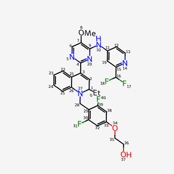 CCC1C=C(c2ncc(OC)c(Nc3ccnc(C(F)F)c3)n2)c2ccccc2N1Cc1c(F)cc(OCCO)cc1F